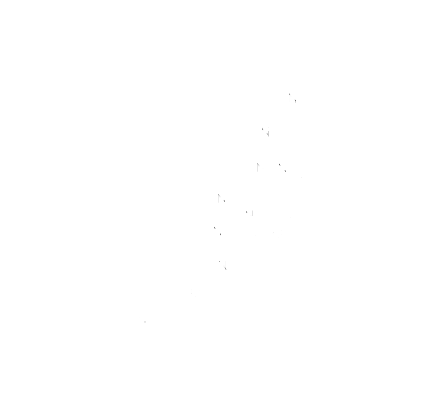 CN1CCN(c2ccc(Nc3nc(Oc4cccc(N)c4)c4ccn(COCC[Si](C)(C)C)c4n3)cn2)CC1